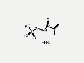 C=C(C)C(=O)NOS(=O)(=O)C(C)C.N